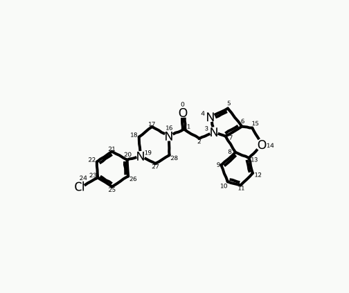 O=C(Cn1ncc2c1-c1ccccc1OC2)N1CCN(c2ccc(Cl)cc2)CC1